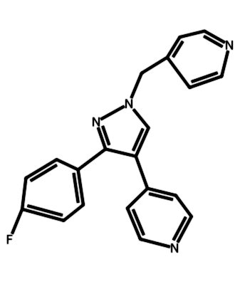 Fc1ccc(-c2nn(Cc3ccncc3)cc2-c2ccncc2)cc1